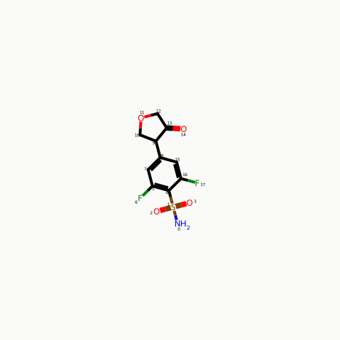 NS(=O)(=O)c1c(F)cc(C2COCC2=O)cc1F